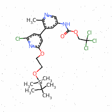 Cc1ncc(NC(=O)OCC(Cl)(Cl)Cl)cc1-c1cc(Cl)nc(OCCO[Si](C)(C)C(C)(C)C)c1